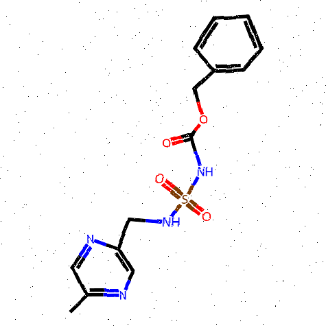 Cc1cnc(CNS(=O)(=O)NC(=O)OCc2ccccc2)cn1